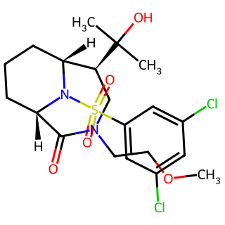 COCCN1C[C@H](C(C)(C)O)[C@H]2CCC[C@@H](C1=O)N2S(=O)(=O)c1cc(Cl)cc(Cl)c1